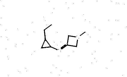 CCC1CC1N=C1CN(C)C1